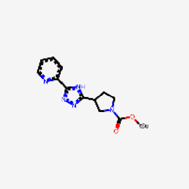 CC(C)(C)OC(=O)N1CCC(c2nnc(-c3ccccn3)[nH]2)C1